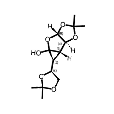 CC1(C)O[C@H]2OC3(O)[C@H]([C@@H]2O1)[C@H]3[C@H]1COC(C)(C)O1